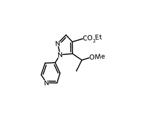 CCOC(=O)c1cnn(-c2ccncc2)c1C(C)OC